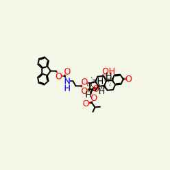 CC(C)C(=O)OCC(=O)[C@@]12OC(CCNC(=O)OCC3c4ccccc4-c4ccccc43)O[C@@H]1C[C@H]1[C@@H]3CCC4=CC(=O)C=C[C@]4(C)[C@H]3[C@@H](O)C[C@@]12C